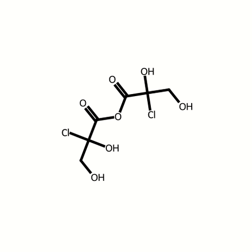 O=C(OC(=O)C(O)(Cl)CO)C(O)(Cl)CO